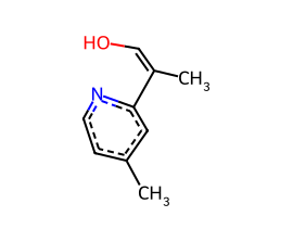 C/C(=C/O)c1cc(C)ccn1